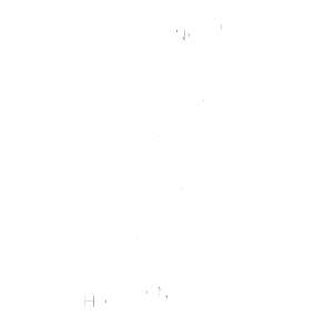 C/C(C#N)=C/c1ccc(-c2cc3sc(-c4ccc(/C=C(/C)C#N)s4)cc3s2)s1